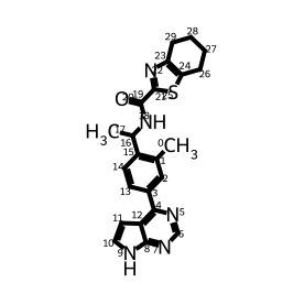 Cc1cc(-c2ncnc3[nH]ccc23)ccc1C(C)NC(=O)c1nc2c(s1)CCCC2